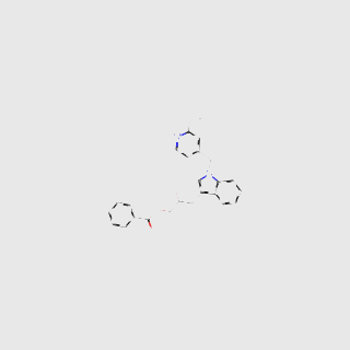 CCCCc1cc(Cn2cc(CC(O)COC(=O)c3ccccc3)c3ccccc32)ccn1